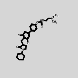 CN(C)CCNC(=O)Oc1ccc(-c2cc(Cl)c(CC3CCN(C4CCCCC4)C3=O)c(Cl)c2)cc1